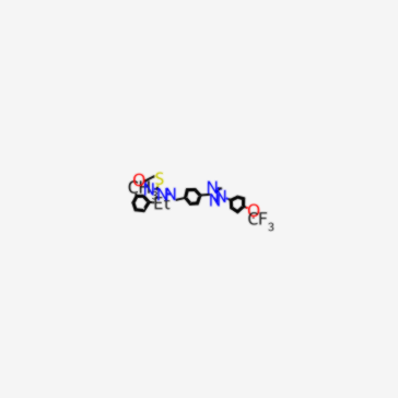 CCc1cccc(C)c1N1C(=O)CS/C1=N\N=C\c1ccc(-c2ncn(-c3ccc(OC(F)(F)F)cc3)n2)cc1